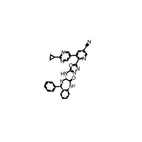 N#Cc1cnc(-c2nnc(N[C@H]3N=C(c4ccccc4)c4ccccc4NC3=O)o2)c(-c2cnc(C3CC3)nc2)c1